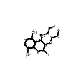 CCCNC1c2c(O)ccc(O)c2CC(C)C1NCCC